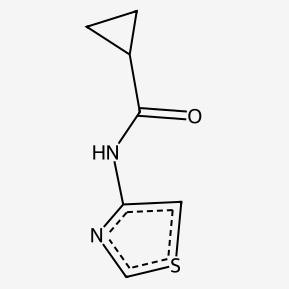 O=C(Nc1cscn1)C1CC1